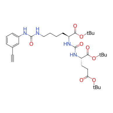 C#Cc1cccc(NC(=O)NCCCC[C@H](NC(=O)N[C@@H](CCC(=O)OC(C)(C)C)C(=O)OC(C)(C)C)C(=O)OC(C)(C)C)c1